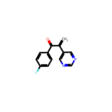 C=C(C(=O)c1ccc(F)cc1)c1cncnc1